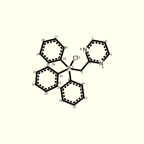 ClP(Cc1ncccn1)(c1ccccc1)(c1ccccc1)c1ccccc1